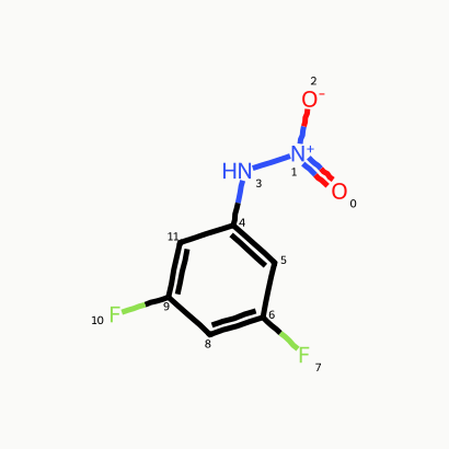 O=[N+]([O-])Nc1cc(F)cc(F)c1